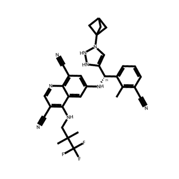 Cc1c(C#N)cccc1[C@H](Nc1cc(C#N)c2ncc(C#N)c(NCC(C)(C)C(F)(F)F)c2c1)C1=CN(C23CC(C2)C3)NN1